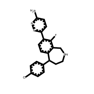 Nc1ccc(-c2ccc3c(c2F)CNCCC3c2ccc(Cl)cc2)nn1